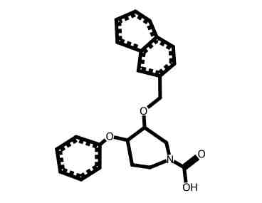 O=C(O)N1CCC(Oc2ccccc2)C(OCc2ccc3ccccc3c2)C1